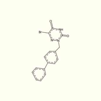 O=c1[nH]c(=O)n(Cc2ccc(-c3ccccc3)cc2)nc1Br